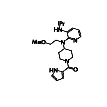 COCCN(c1ncccc1NC(C)C)C1CCN(C(=O)c2ccc[nH]2)CC1